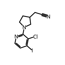 N#CCC1CCN(c2nccc(I)c2Cl)C1